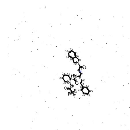 O=C(N[C@H](/C=C/C(=O)N1Cc2ccccc2C1)CCc1ccccc1)[C@@H]1CCCCN1OC(=O)C(F)(F)F